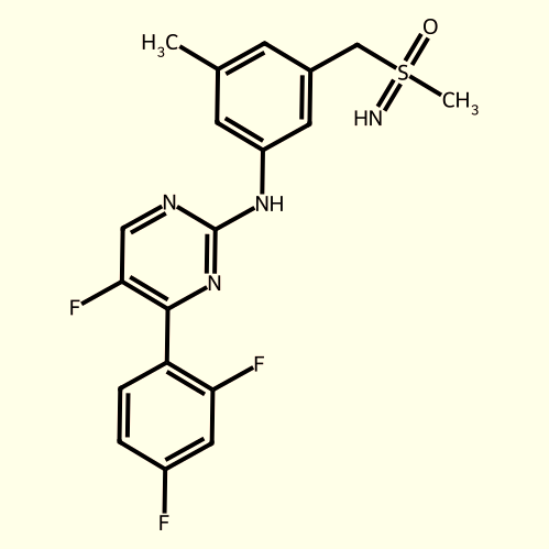 Cc1cc(CS(C)(=N)=O)cc(Nc2ncc(F)c(-c3ccc(F)cc3F)n2)c1